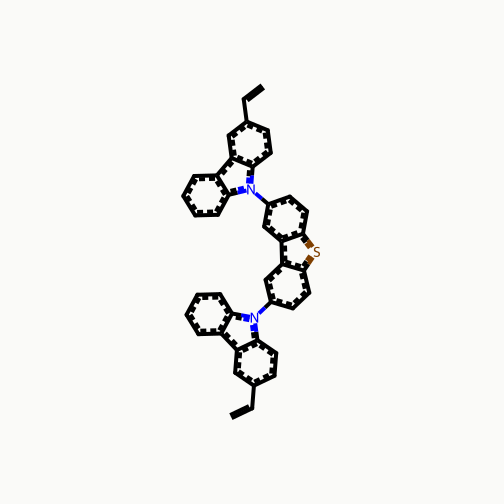 C=Cc1ccc2c(c1)c1ccccc1n2-c1ccc2sc3ccc(-n4c5ccccc5c5cc(C=C)ccc54)cc3c2c1